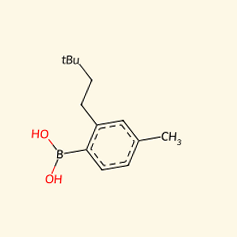 Cc1ccc(B(O)O)c(CCC(C)(C)C)c1